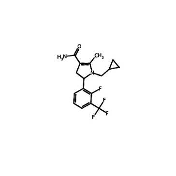 CC1=C(C(N)=O)CC(c2cccc(C(F)(F)F)c2F)N1CC1CC1